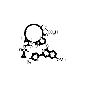 COc1ccc2c(O[C@@H]3C[C@H]4C(=O)N[C@]5(C(=O)NS(=O)(=O)C6CC6)C[C@H]5/C=C\CC[C@H](C)C[C@@H](C)[C@H](NC(=O)O)C(=O)N4C3)nc(-c3ccc(OC(C)C)cn3)cc2c1